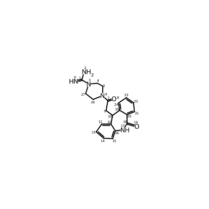 N=C(N)N1CCN(C(=O)CC2c3ccccc3NC(=O)c3ccccc32)CC1